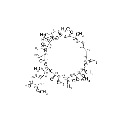 CO[C@H]1C[C@@H]2CC[C@@H](C)[C@@](O)(O2)[C@H](O)C(=O)N2CCCCC2C(=O)O[C@H]([C@H](C)C[C@@H]2CC[C@@H](O)[C@H](OC)C2)CC(=O)[C@H](C)/C=C(\C)[C@@H](O)[C@@H](OC)C(=O)[C@H](C)C[C@H](C)/C=C/C=C/C=C/1C